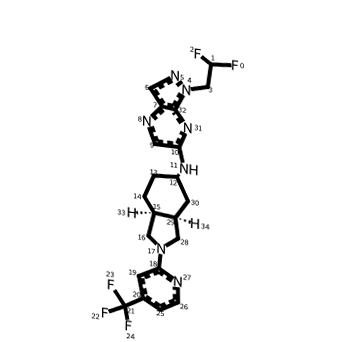 FC(F)Cn1ncc2ncc(N[C@H]3CC[C@@H]4CN(c5cc(C(F)(F)F)ccn5)C[C@@H]4C3)nc21